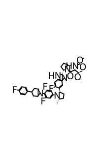 COC(=O)N[C@H](C(=O)N1CCC[C@H]1c1nc2cc([C@H]3CC[C@H](C)N3c3cc(F)c(N4CCC(c5ccc(F)cc5)CC4)c(F)c3)c(F)cc2[nH]1)[C@@H](C)OC